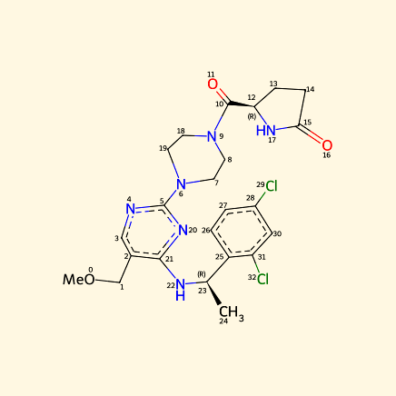 COCc1cnc(N2CCN(C(=O)[C@H]3CCC(=O)N3)CC2)nc1N[C@H](C)c1ccc(Cl)cc1Cl